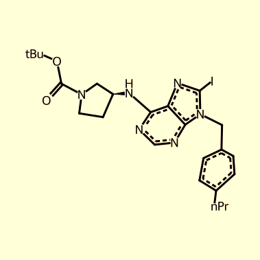 CCCc1ccc(Cn2c(I)nc3c(N[C@H]4CCN(C(=O)OC(C)(C)C)C4)ncnc32)cc1